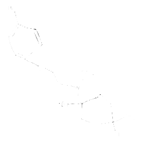 CC1(C)CCC(N(CCOc2ccc(Br)cc2)C(=O)O)(C(C)(C)C)CC1